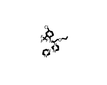 CCCOC/C(=N\c1ccc(Cl)cc1C(F)(F)F)n1ccnc1.c1cncnc1